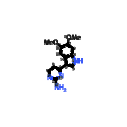 COc1cc2[nH]cc(-c3ccnc(N)n3)c2cc1OC